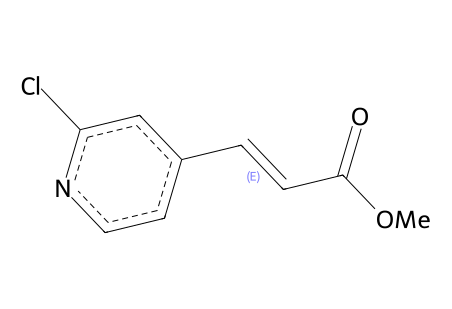 COC(=O)/C=C/c1ccnc(Cl)c1